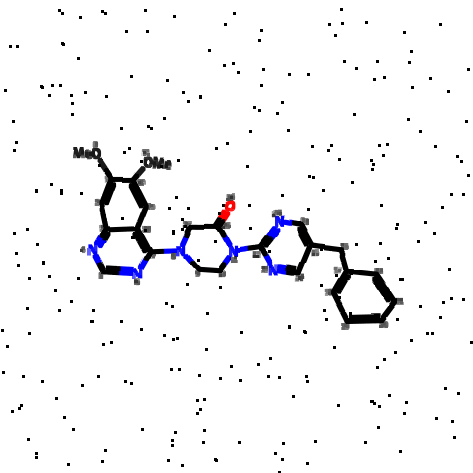 COc1cc2ncnc(N3CCN(c4ncc(Cc5ccccc5)cn4)C(=O)C3)c2cc1OC